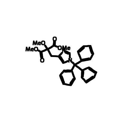 COC(=O)C(Cc1cn(C(c2ccccc2)(c2ccccc2)c2ccccc2)cn1)(OC)C(=O)OC